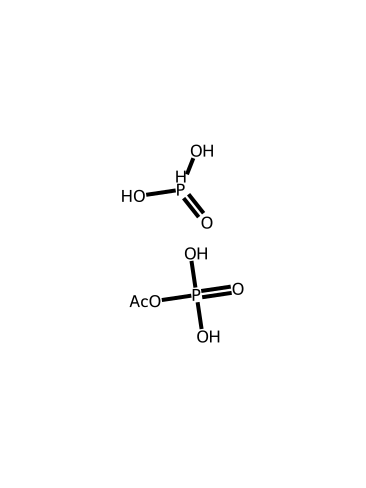 CC(=O)OP(=O)(O)O.O=[PH](O)O